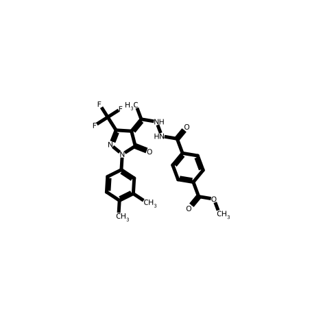 COC(=O)c1ccc(C(=O)NNC(C)=C2C(=O)N(c3ccc(C)c(C)c3)N=C2C(F)(F)F)cc1